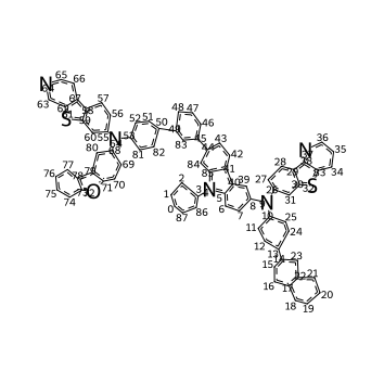 c1ccc(-n2c3ccc(N(c4ccc(-c5ccc6ccccc6c5)cc4)c4ccc5c(c4)sc4cccnc45)cc3c3ccc(-c4cccc(-c5ccc(N(c6ccc7c(c6)sc6cnccc67)c6ccc7oc8ccccc8c7c6)cc5)c4)cc32)cc1